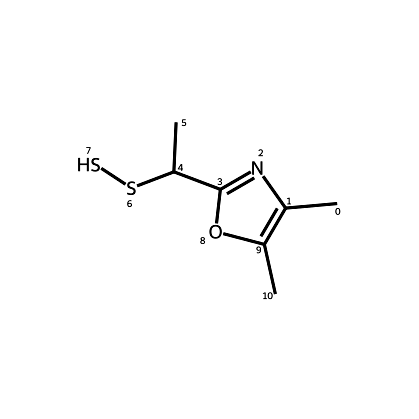 Cc1nc(C(C)SS)oc1C